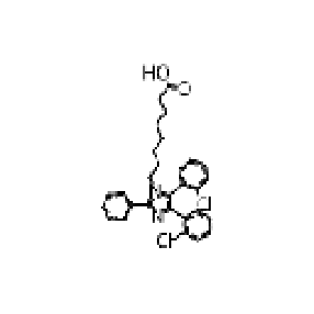 O=C(O)CCCCCCCn1c(-c2ccccc2)nc(-c2ccccc2Cl)c1-c1ccccc1Cl